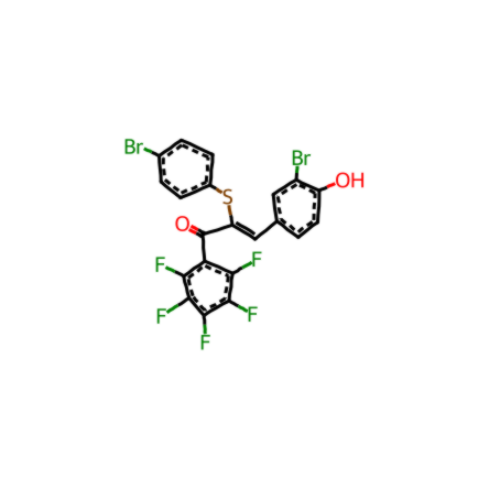 O=C(C(=Cc1ccc(O)c(Br)c1)Sc1ccc(Br)cc1)c1c(F)c(F)c(F)c(F)c1F